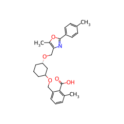 Cc1ccc(-c2nc(CO[C@H]3CCCC(OCc4cccc(C)c4C(=O)O)C3)c(C)o2)cc1